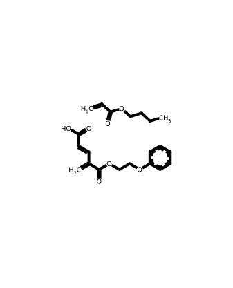 C=C(C=CC(=O)O)C(=O)OCCOc1ccccc1.C=CC(=O)OCCCC